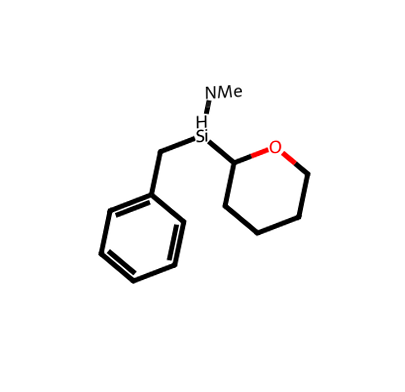 CN[SiH](Cc1ccccc1)C1CCCCO1